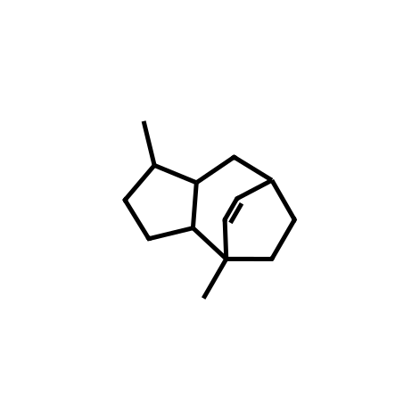 CC1CCC2C1CC1C=CC2(C)CC1